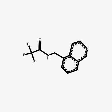 O=C(NCc1cccc2cnccc12)C(F)(F)F